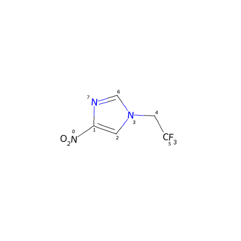 O=[N+]([O-])c1cn(CC(F)(F)F)cn1